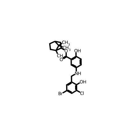 CC1(C)C2CCC1(C)C(OC(=O)c1cc(NCc3cc(Br)cc(Cl)c3O)ccc1O)C2